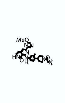 COc1cncc(-c2cc3cc[nH]c(=O)c3c(Nc3ccc(C4CCN(C(=O)CN(C)C)CC4)c(C)c3)n2)n1